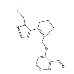 CCCn1nccc1C1=C(COc2cccnc2C=O)CCCC1